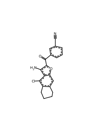 N#Cc1cccc(C(=O)c2oc3cc4c(c(Cl)c3c2N)CCCC4)c1